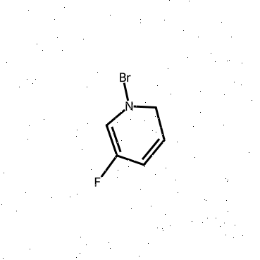 FC1=CN(Br)CC=C1